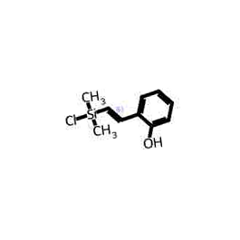 C[Si](C)(Cl)/C=C/c1ccccc1O